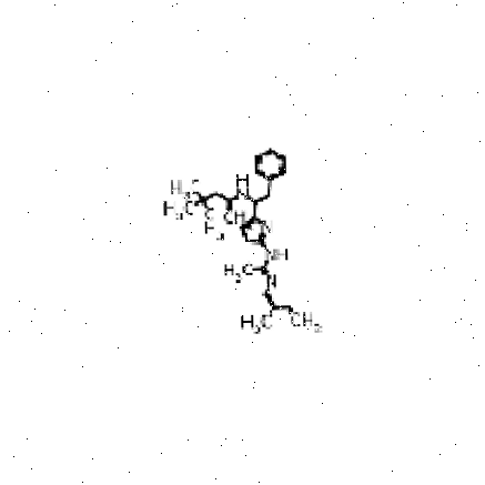 C=C/C(C)=C\N=C(/C)NC1=NC(C(Cc2ccccc2)NC(=C)CC(C)(C)C)=CC1